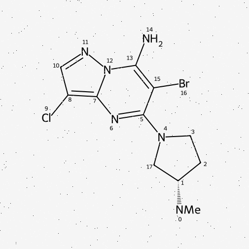 CN[C@H]1CCN(c2nc3c(Cl)cnn3c(N)c2Br)C1